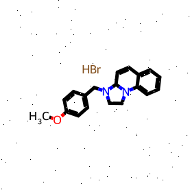 Br.COc1ccc(CN2CCN3c4ccccc4C=CC23)cc1